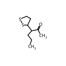 CCCC(C(C)=O)C1CCSS1